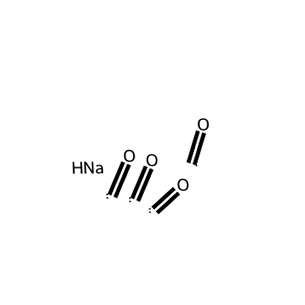 [C]=O.[C]=O.[C]=O.[C]=O.[NaH]